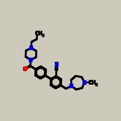 CCCN1CCN(C(=O)c2ccc(-c3ccc(CN4CCCN(C)CC4)cc3C#N)cc2)CC1